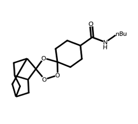 CCCCNC(=O)C1CCC2(CC1)OOC1(O2)C2CC3CC(C2)C1C3